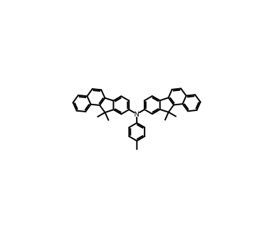 Cc1ccc(N(c2ccc3c(c2)C(C)(C)c2c-3ccc3ccccc23)c2ccc3c(c2)C(C)(C)c2c-3ccc3ccccc23)cc1